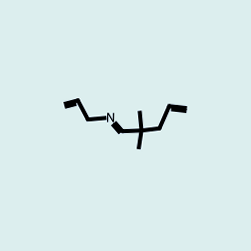 C=CCN=CC(C)(C)CC=C